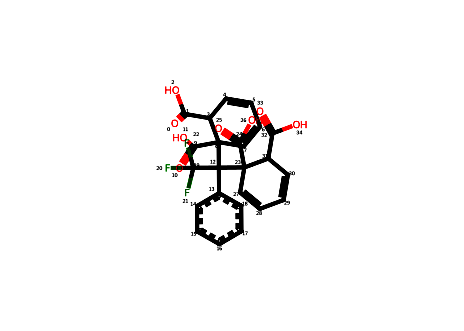 O=C(O)C1C=CC=CC1(C(=O)O)C(c1ccccc1)(C(F)(F)F)C1(C(=O)O)C=CC=CC1C(=O)O